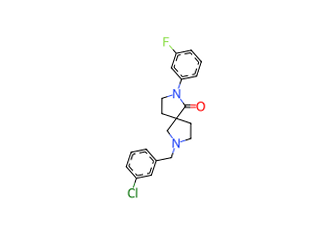 O=C1N(c2cccc(F)c2)CCC12CCN(Cc1cccc(Cl)c1)C2